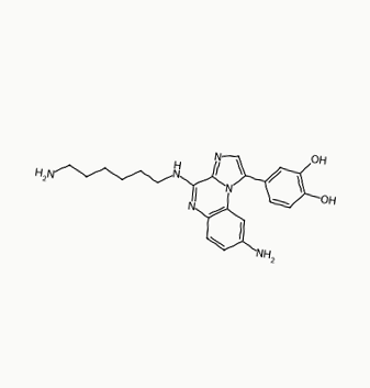 NCCCCCCNc1nc2ccc(N)cc2n2c(-c3ccc(O)c(O)c3)cnc12